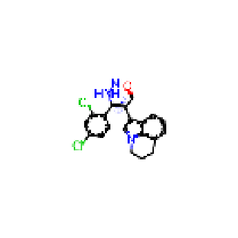 NN/C(=C(\C=O)c1cn2c3c(cccc13)CCC2)c1ccc(Cl)cc1Cl